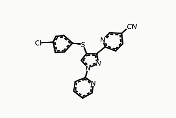 N#Cc1ccc(-c2nn(-c3ccccn3)cc2Sc2ccc(Cl)cc2)nc1